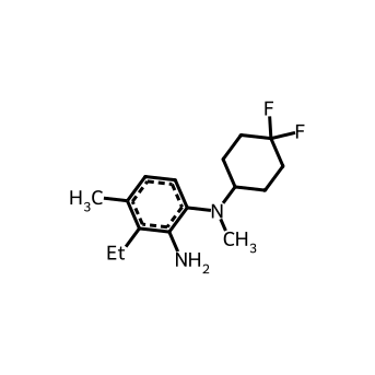 CCc1c(C)ccc(N(C)C2CCC(F)(F)CC2)c1N